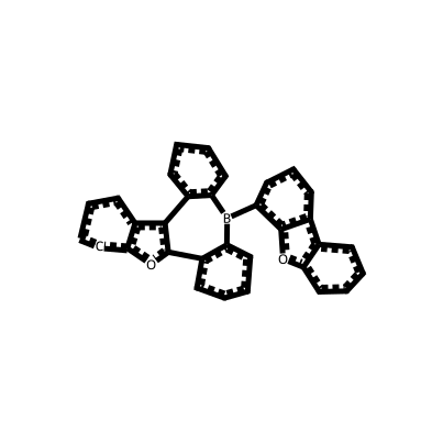 c1ccc2c(c1)B(c1cccc3c1oc1ccccc13)c1ccccc1-c1c-2oc2ccccc12